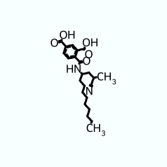 CCCCCCCCCC(CC(C)C#N)NC(=O)c1ccc(C(=O)O)cc1C(=O)O